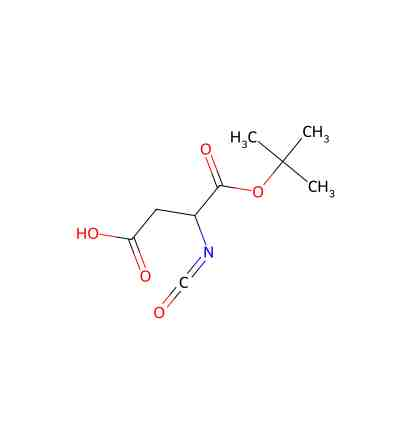 CC(C)(C)OC(=O)C(CC(=O)O)N=C=O